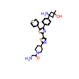 CC1(O)CC(N)(c2ccc(-c3nc(-c4cnc(C5CCN(C(=O)CN)CC5)s4)sc3-c3ccccc3)cc2)C1